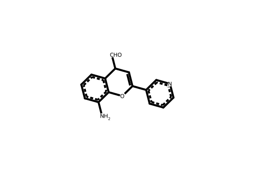 Nc1cccc2c1OC(c1cccnc1)=CC2C=O